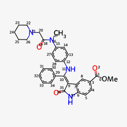 COC(=O)c1ccc2c(c1)C(=C(Nc1ccc(N(C)C(=O)CN3CCCCC3)cc1)c1ccccc1)C(=O)N2